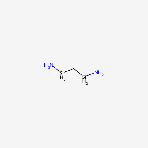 N[SiH2]C[SiH2]N